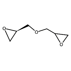 C(OC[C@H]1CO1)C1CO1